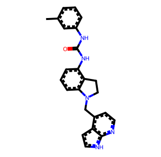 Cc1cccc(NC(=O)Nc2cccc3c2CCN3Cc2ccnc3[nH]ccc23)c1